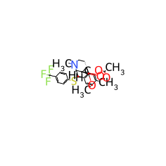 COC1=C[C@@H]2[C@@H]3[C@H](Sc4ccc(C(F)(F)F)cc4)c4ccc(C)c(OC(C)=O)c4[C@]2(CCN3C)CC1=O